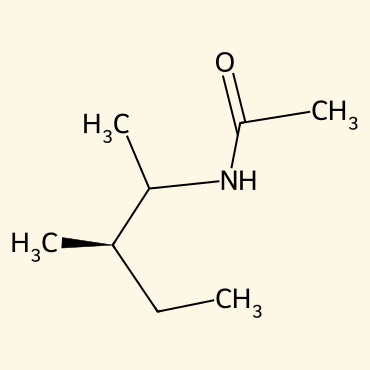 CC[C@@H](C)C(C)NC(C)=O